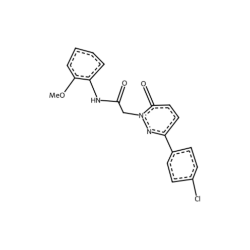 COc1ccccc1NC(=O)Cn1nc(-c2ccc(Cl)cc2)ccc1=O